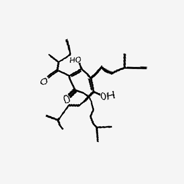 CCC(C)C(=O)C1=C(O)C(CCC(C)C)=C(O)C(CCC(C)C)(CCC(C)C)C1=O